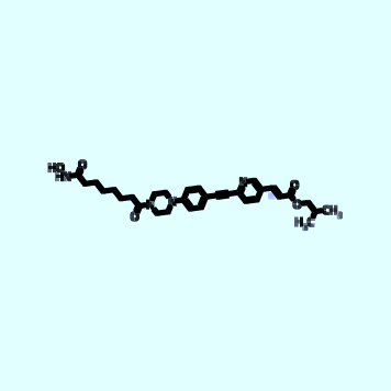 CC(C)COC(=O)/C=C/c1ccc(C#Cc2ccc(N3CCN(C(=O)CCCCCCC(=O)NO)CC3)cc2)nc1